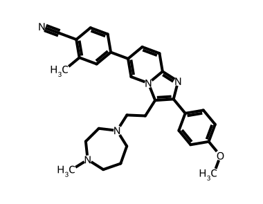 COc1ccc(-c2nc3ccc(-c4ccc(C#N)c(C)c4)cn3c2CCN2CCCN(C)CC2)cc1